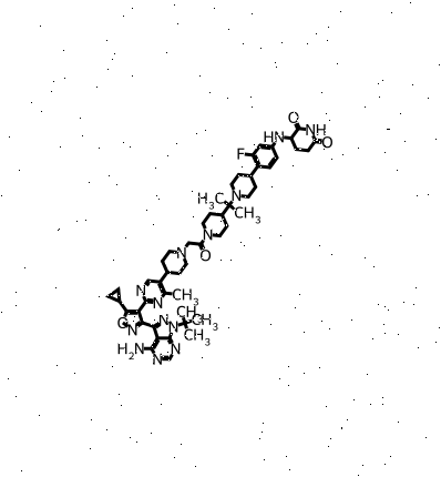 Cc1nc(-c2c(-c3nn(C(C)(C)C)c4ncnc(N)c34)noc2C2CC2)ncc1C1CCN(CC(=O)N2CCC(C(C)(C)N3CCC(c4ccc(NC5CCC(=O)NC5=O)cc4F)CC3)CC2)CC1